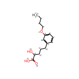 CCCCOc1cccc(CCCC(O)C(=O)O)c1